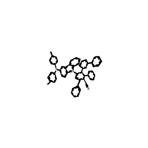 Cc1ccc(N(c2ccc(C)cc2)c2ccc3c(c2)c2ccccc2n3-c2cc(-c3ccccc3)c(C#N)c(-c3ccccc3)c2-c2cccc(-c3ccccc3)c2)cc1